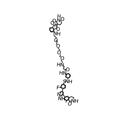 Nc1ncc(-c2ccc(SNc3cccc(NC(=O)CCNCCOCCOCCOCCOCCNc4cccc5c4C(=O)N(C4CCC(=O)NC4=O)C5=O)c3)cc2F)cc1-c1ccc2c(c1)CCNC2=O